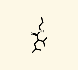 CCCNC(=O)C(CC(C)C)C(C)C